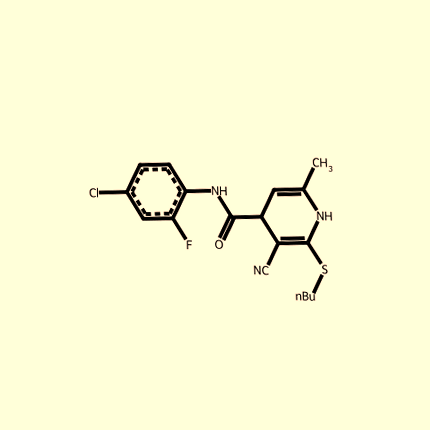 CCCCSC1=C(C#N)C(C(=O)Nc2ccc(Cl)cc2F)C=C(C)N1